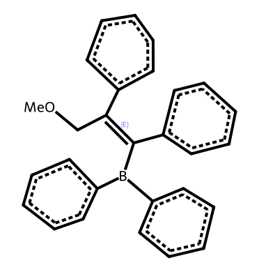 COC/C(=C(\B(c1ccccc1)c1ccccc1)c1ccccc1)c1ccccc1